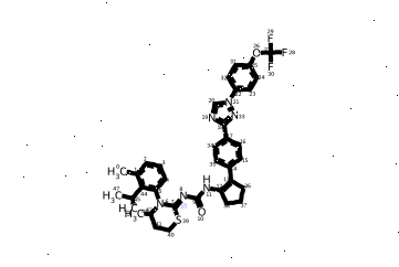 Cc1cccc(N2/C(=N/C(=O)NC3=C(c4ccc(-c5ncn(-c6ccc(OC(F)(F)F)cc6)n5)cc4)CCC3)SCCC2C)c1C(C)C